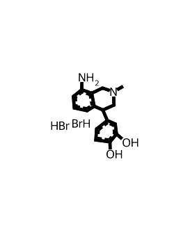 Br.Br.CN1Cc2c(N)cccc2C(c2ccc(O)c(O)c2)C1